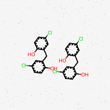 Oc1ccc(Cl)cc1Cc1cc(Cl)ccc1O.Oc1ccc(Cl)cc1Cc1cc(Cl)ccc1O